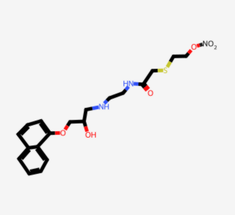 O=C(CSCCO[N+](=O)[O-])NCCNCC(O)COc1cccc2ccccc12